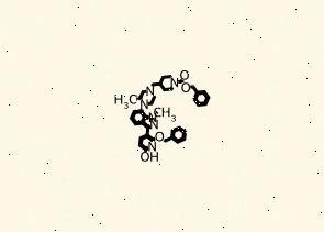 C[C@H]1CN(CC2CCN(C(=O)OCc3ccccc3)CC2)CCN1c1cccc2c(-c3ccc(O)nc3OCc3ccccc3)nn(C)c12